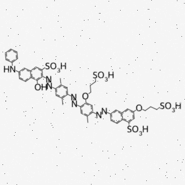 Cc1cc(N=Nc2cc(C)c(N=Nc3c(S(=O)(=O)O)cc4cc(Nc5ccccc5)ccc4c3O)cc2C)c(OCCCS(=O)(=O)O)cc1N=Nc1ccc2c(S(=O)(=O)O)cc(OCCCS(=O)(=O)O)cc2c1